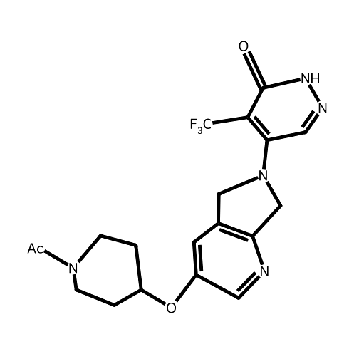 CC(=O)N1CCC(Oc2cnc3c(c2)CN(c2cn[nH]c(=O)c2C(F)(F)F)C3)CC1